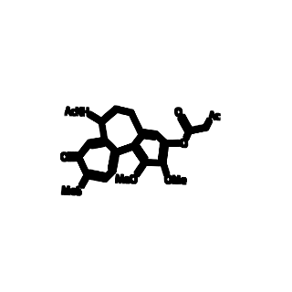 COc1c(OC(=O)CC(C)=O)cc2c(c1OC)-c1ccc(SC)c(=O)cc1C(NC(C)=O)CC2